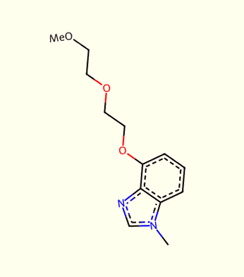 COCCOCCOc1cccc2c1ncn2C